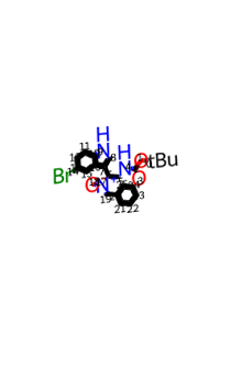 CC(C)(C)OC(=O)NCC(c1c[nH]c2ccc(Br)cc12)/[N+]([O-])=C\c1ccccc1